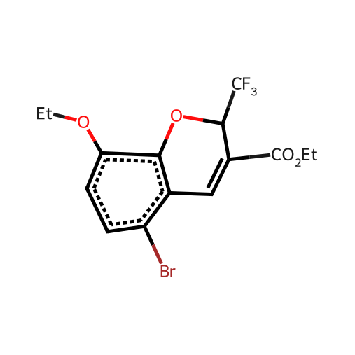 CCOC(=O)C1=Cc2c(Br)ccc(OCC)c2OC1C(F)(F)F